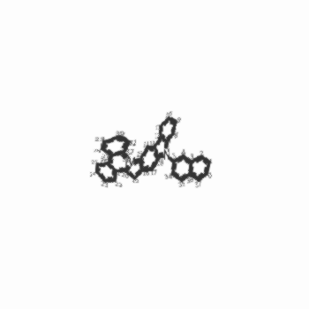 c1ccc2cc(-n3c4ccccc4c4cc5c(cc43)cc3c4ccccc4c4ccccc4n53)ccc2c1